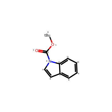 CC(C)(C)OC(=O)n1c[c]c2ccccc21